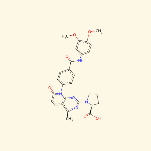 COc1ccc(NC(=O)c2ccc(-n3c(=O)ccc4c(C)nc(N5CCC[C@H]5C(=O)O)nc43)cc2)cc1OC